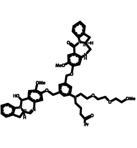 COCCOCCOCCN(CCCC(=O)C(C)C)c1cc(COc2cc3c(cc2OC)C(O)N2c4ccccc4C[C@H]2C=N3)cc(COc2cc3c(cc2OC)C(=O)N2c4ccccc4C[C@H]2CN3)c1